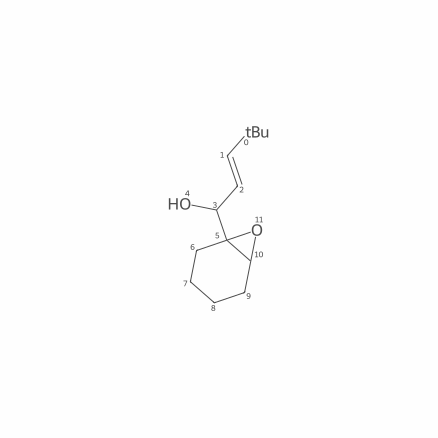 CC(C)(C)/C=C/C(O)C12CCCCC1O2